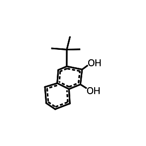 CC(C)(C)c1cc2ccccc2c(O)c1O